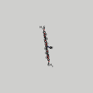 CCCCCC1CCC(C(=O)Oc2ccc(C(=O)OC3CCC(C(=O)Oc4ccc(OC(=O)C5CCC(OC(=O)c6ccc(OC(=O)C7CCC(CCCCC)CC7)cc6)CC5)c(/C=C/c5ccc(F)cc5)c4)CC3)cc2)CC1